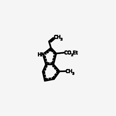 C=Cc1[nH]c2cccc(C)c2c1C(=O)OCC